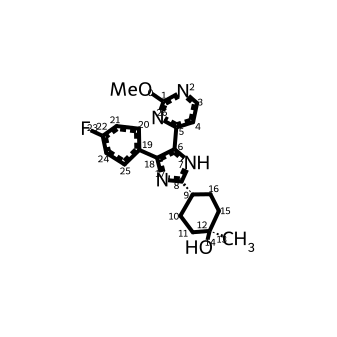 COc1nccc(-c2[nH]c([C@H]3CC[C@](C)(O)CC3)nc2-c2ccc(F)cc2)n1